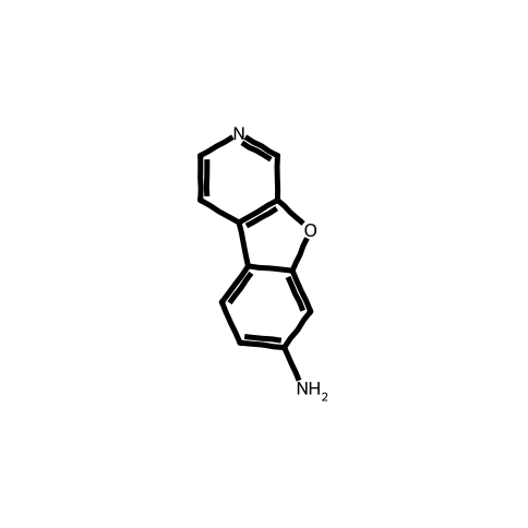 Nc1ccc2c(c1)oc1cnccc12